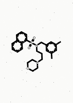 Cc1cc(C)cc(CN(CCCN2CCOCC2)S(=O)(=O)c2cccc3ccccc23)c1